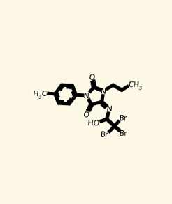 CCCN1C(=O)N(c2ccc(C)cc2)C(=O)C1=NC(O)C(Br)(Br)Br